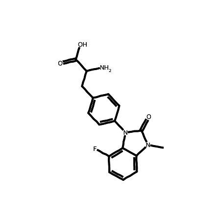 Cn1c(=O)n(-c2ccc(CC(N)C(=O)O)cc2)c2c(F)cccc21